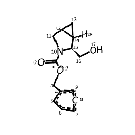 O=C(OCc1ccccc1)N1CC2C[C@@H]2[C@H]1CO